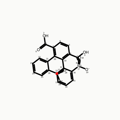 O=C(O)c1ccc(C(=O)O)c(-c2ccccc2[N+](=O)[O-])c1-c1ccccc1[N+](=O)[O-]